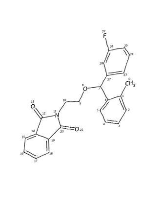 Cc1ccccc1C(OCCN1C(=O)c2ccccc2C1=O)c1cccc(F)c1